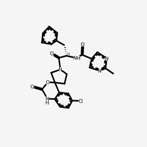 Cc1ncc(C(=O)N[C@@H](Cc2ccccc2)C(=O)N2CCC3(C2)OC(=O)Nc2ccc(Cl)cc23)cn1